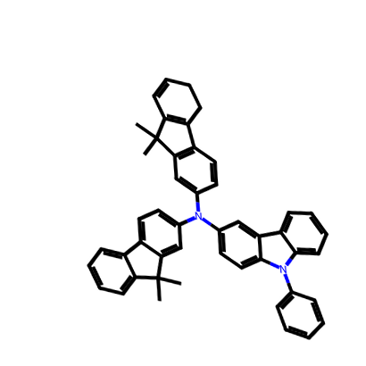 CC1(C)C2=C(CCC=C2)c2ccc(N(c3ccc4c(c3)C(C)(C)c3ccccc3-4)c3ccc4c(c3)c3ccccc3n4-c3ccccc3)cc21